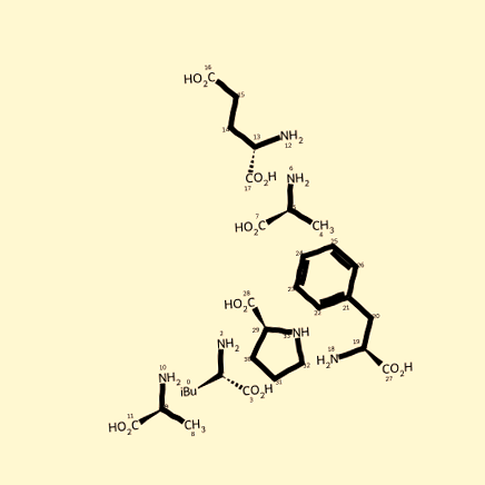 CC[C@H](C)[C@H](N)C(=O)O.C[C@H](N)C(=O)O.C[C@H](N)C(=O)O.N[C@@H](CCC(=O)O)C(=O)O.N[C@@H](Cc1ccccc1)C(=O)O.O=C(O)[C@@H]1CCCN1